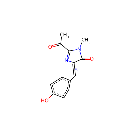 CC(=O)C1=N/C(=C\c2ccc(O)cc2)C(=O)N1C